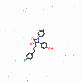 O=C1N(c2ccc(F)cc2)[C@@H](c2ccc(O)cc2)[C@@]1(O)CCCc1ccc(F)cc1